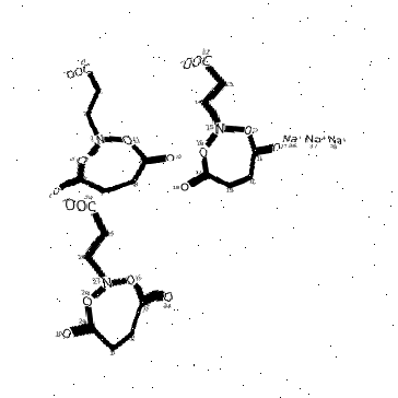 O=C([O-])CCN1OC(=O)CCC(=O)O1.O=C([O-])CCN1OC(=O)CCC(=O)O1.O=C([O-])CCN1OC(=O)CCC(=O)O1.[Na+].[Na+].[Na+]